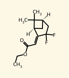 CCOC(=O)C=C1[C@@H]2C[C@H](CC1(F)F)C2(C)C